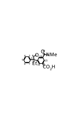 CC[C@@]1(c2ccccc2)COc2c(C(=O)NC)cc(C(=O)O)cc21